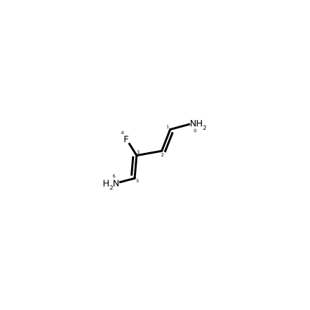 NC=CC(F)=CN